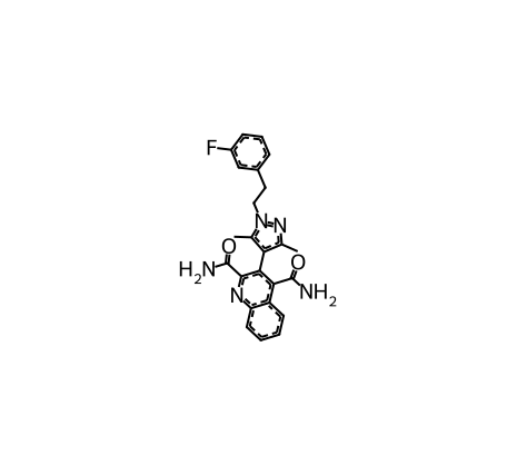 Cc1nn(CCc2cccc(F)c2)c(C)c1-c1c(C(N)=O)nc2ccccc2c1C(N)=O